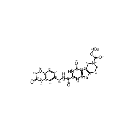 CC(C)(C)OC(=O)N1CCc2sc3nc(C(=O)NCc4ccc5c(c4)NC(=O)CO5)[nH]c(=O)c3c2C1